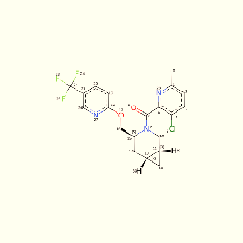 Cc1ccc(Cl)c(C(=O)N2C[C@@H]3C[C@@H]3C[C@H]2COc2ccc(C(F)(F)F)cn2)n1